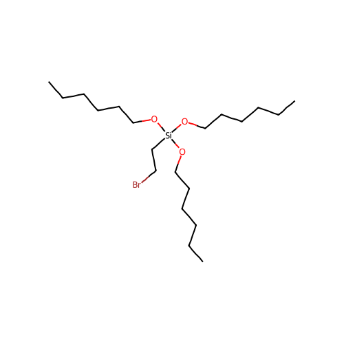 CCCCCCO[Si](CCBr)(OCCCCCC)OCCCCCC